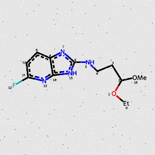 CCOC(CCNc1nc2ccc(F)nc2[nH]1)OC